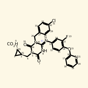 O=C(O)[C@H]1C[C@@H]1Cn1c(=O)[nH]/c(=N\c2ccc(Oc3ccccn3)c(F)c2)n(Cc2ccc(Cl)cc2)c1=O